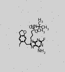 CC(C)(C)NS(=O)(=O)CCCn1c(Cc2cc3c(cc2I)CCO3)nc2c(N)nc(F)nc21